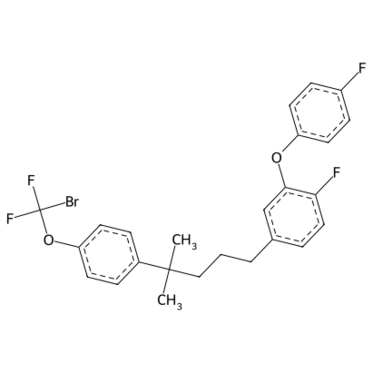 CC(C)(CCCc1ccc(F)c(Oc2ccc(F)cc2)c1)c1ccc(OC(F)(F)Br)cc1